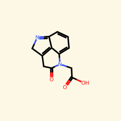 O=C(O)CN1C(=O)CC2=c3c1cccc3=NC2